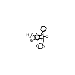 Cc1nc2c(cc1Br)n(C[C@H]1COCCO1)c(=O)n2C1=CCCCC1